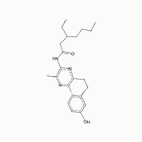 CCCCC(CC)CC(=O)Nc1nc2c(nc1C)-c1ccc(O)cc1CC2